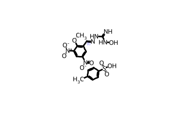 COc1c(/C=N/NC(=N)NO)cc([N+](=O)[O-])cc1[N+](=O)[O-].Cc1ccc(S(=O)(=O)O)cc1